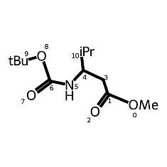 COC(=O)CC(NC(=O)OC(C)(C)C)C(C)C